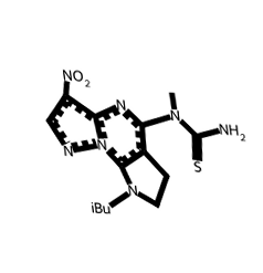 CCC(C)N1CCc2c(N(C)C(N)=S)nc3c([N+](=O)[O-])cnn3c21